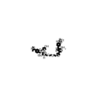 CCS(=O)(=O)Nc1ccc(-c2nn(C)c3c(-c4cnn(CCOCCOCC(=O)NC(C(=O)N(Cc5ccc(-c6scnc6C)cc5)C(=O)[C@@H]5C[C@@H](O)CN5)C(C)(C)C)c4)cnc(N)c23)cc1